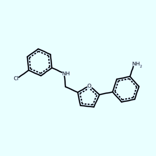 Nc1cccc(-c2ccc(CNc3cccc(Cl)c3)o2)c1